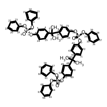 CC(C)(c1ccc(OP(=O)(Oc2ccccc2)Oc2ccccc2)cc1)c1ccc(OP(=O)(Oc2ccccc2)Oc2ccc(C(C)(C)c3ccc(OP(=O)(Oc4ccccc4)Oc4ccccc4)cc3)cc2)cc1